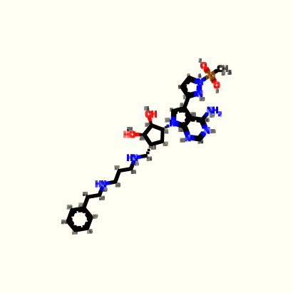 CS(=O)(=O)n1ccc(-c2cn([C@@H]3C[C@H](CNCCCNCCc4ccccc4)[C@@H](O)[C@H]3O)c3ncnc(N)c23)n1